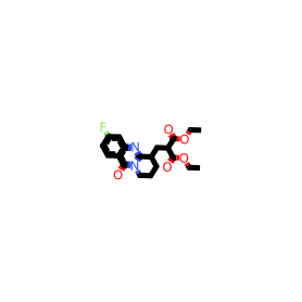 CCOC(=O)C(CC1CCCn2c1nc1cc(F)ccc1c2=O)C(=O)OCC